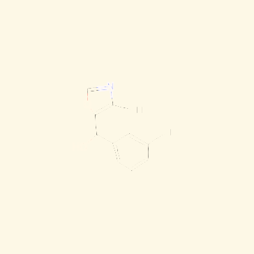 Cc1cccc(C(O)c2ocnc2C)c1